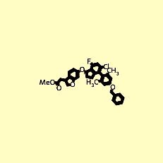 COC(=O)CC1COc2cc(O[C@@H]3CCc4c(-c5c(C)cc(OCc6ccccc6)cc5C)c(Cl)cc(F)c43)ccc21